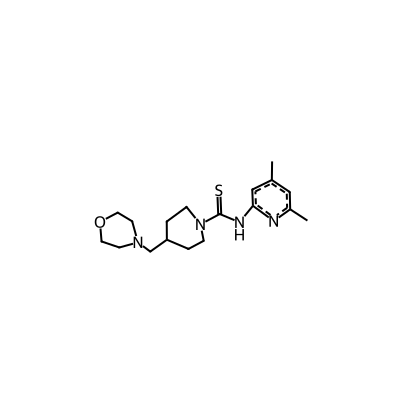 Cc1cc(C)nc(NC(=S)N2CCC(CN3CCOCC3)CC2)c1